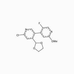 COc1cc(-c2cnc(Cl)cc2C2OCCO2)c(F)cn1